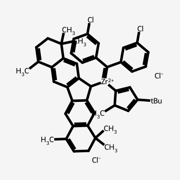 CC1=CCC(C)(C)c2cc3c(cc21)-c1cc2c(cc1[CH]3[Zr+2]([C]1=CC(C(C)(C)C)=CC1C)=[C](c1cccc(Cl)c1)c1cccc(Cl)c1)C(C)(C)CC=C2C.[Cl-].[Cl-]